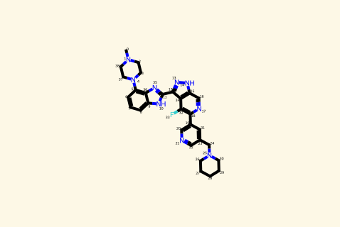 CN1CCN(c2cccc3[nH]c(-c4n[nH]c5cnc(-c6cncc(CN7CCCCC7)c6)c(F)c45)nc23)CC1